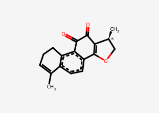 CC1=CCCc2c1ccc1c2C(=O)C(=O)C2=C1OC[C@@H]2C